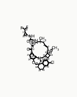 CO[C@H]1/C=C/C[C@H](C)CS(=O)(NC(=O)N[C@@H]2CC2C(F)F)=NC(=O)c2ccc3c(c2)N(C[C@@H]2CC[C@H]21)C[C@@]1(CCCc2cc(Cl)ccc21)CO3